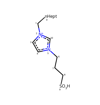 CCCCCCCC[n+]1ccn(CCCS(=O)(=O)O)c1